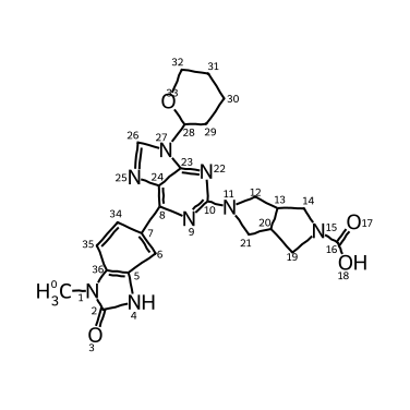 Cn1c(=O)[nH]c2cc(-c3nc(N4CC5CN(C(=O)O)CC5C4)nc4c3ncn4C3CCCCO3)ccc21